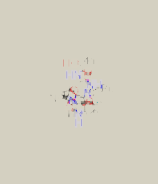 CC(C)[C@H](O)C(=O)N[C@H]1Cc2ccc3c(c2)[C@@]2(c4cc(F)ccc4N[C@@H]2O3)c2oc(nc2-c2nc(C#N)co2)[C@H](C(C)(C)C)NC1=O